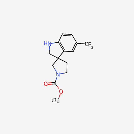 CC(C)(C)OC(=O)N1CCC2(CNc3ccc(C(F)(F)F)cc32)C1